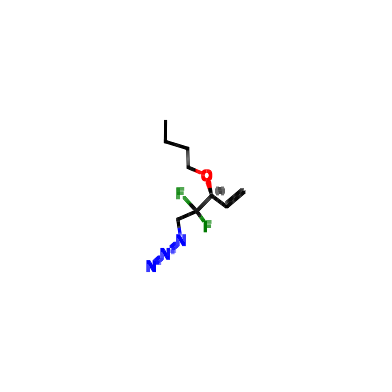 C=C[C@H](OCCCC)C(F)(F)CN=[N+]=[N-]